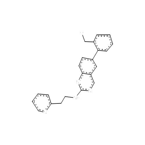 OCc1ccccc1-c1ccc2nc(NCCc3ccccn3)ncc2c1